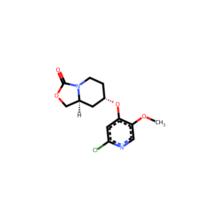 COc1cnc(Cl)cc1O[C@H]1CCN2C(=O)OC[C@@H]2C1